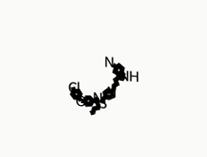 CCCCc1sc(C2CCN(CCCCc3c[nH]c4ccc(C#N)cc34)CC2)nc1-c1ccc(Oc2ccc(Cl)cc2)cc1